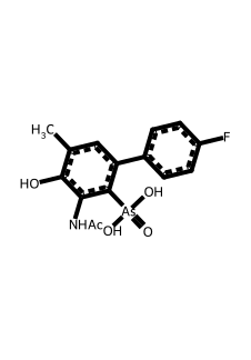 CC(=O)Nc1c(O)c(C)cc(-c2ccc(F)cc2)c1[As](=O)(O)O